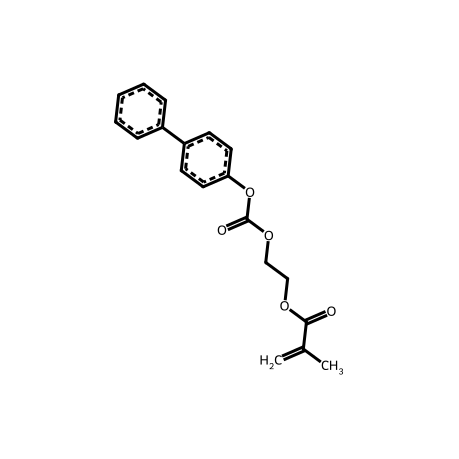 C=C(C)C(=O)OCCOC(=O)Oc1ccc(-c2ccccc2)cc1